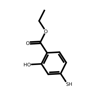 CCOC(=O)c1ccc(S)cc1O